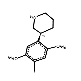 COc1cc([C@@H]2CCCNC2)c(OC)cc1I